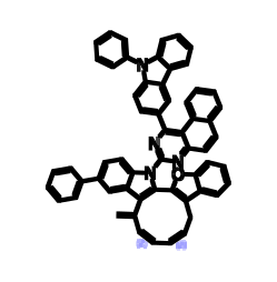 C=C1/C=C\C=C/Cc2c(oc3ccccc23)-c2c1c1cc(-c3ccccc3)ccc1n2-c1nc(-c2ccc3c(c2)c2ccccc2n3-c2ccccc2)c2c(ccc3ccccc32)n1